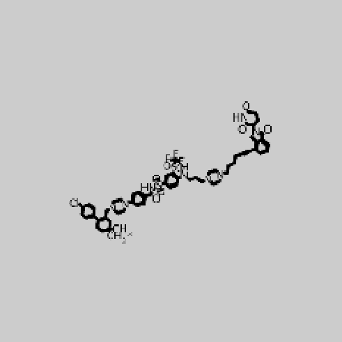 CC1(C)CCC(c2ccc(Cl)cc2)=C(CN2CCN(c3ccc(C(=O)NS(=O)(=O)c4ccc(NCCCN5CCN(CCCCC#Cc6cccc7c6CN(C6CCC(=O)NC6=O)C7=O)CC5)c(S(=O)(=O)C(F)(F)F)c4)cc3)CC2)C1